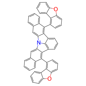 c1ccc2c(-c3cccc4oc5ccccc5c34)c3c4cccc5c6c(-c7cccc8oc9ccccc9c78)c7ccccc7cc6n(c3cc2c1)c45